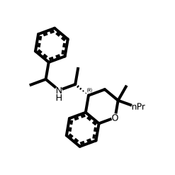 CCCC1(C)C[C@@H](C(C)NC(C)c2ccccc2)c2ccccc2O1